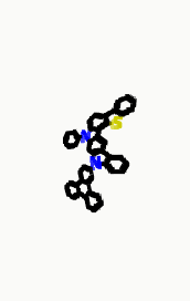 c1ccc(-n2c3cc4c(cc3c3c5sc6ccccc6c5ccc32)c2ccccc2n4-c2ccc3c4ccccc4c4ccccc4c3c2)cc1